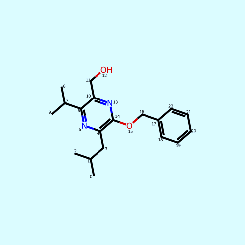 CC(C)Cc1nc(C(C)C)c(CO)nc1OCc1ccccc1